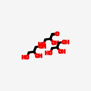 O=CC(O)CO.OCC(O)CO.OCC(O)CO